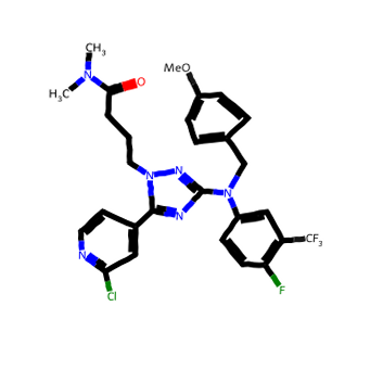 COc1ccc(CN(c2ccc(F)c(C(F)(F)F)c2)c2nc(-c3ccnc(Cl)c3)n(CCCC(=O)N(C)C)n2)cc1